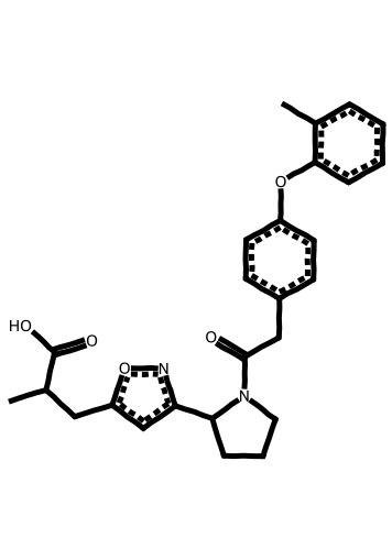 Cc1ccccc1Oc1ccc(CC(=O)N2CCCC2c2cc(CC(C)C(=O)O)on2)cc1